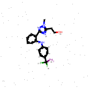 Cn1nc(-c2ccccc2Nc2ccc(C(F)(F)P)cc2)nc1CCO